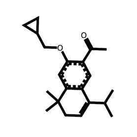 CC(=O)c1cc2c(cc1OCC1CC1)C(C)(C)CC=C2C(C)C